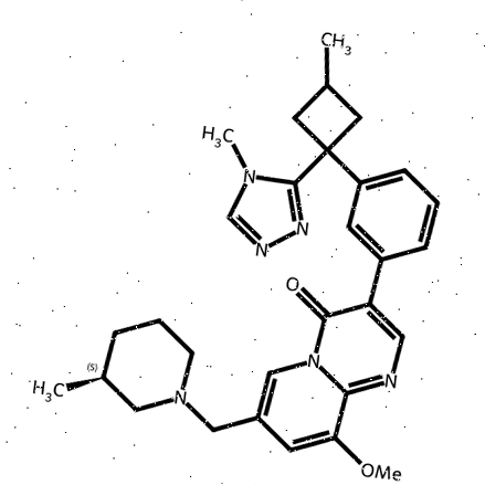 COc1cc(CN2CCC[C@H](C)C2)cn2c(=O)c(-c3cccc(C4(c5nncn5C)CC(C)C4)c3)cnc12